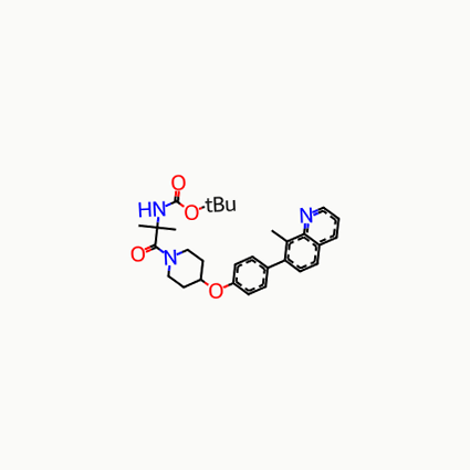 Cc1c(-c2ccc(OC3CCN(C(=O)C(C)(C)NC(=O)OC(C)(C)C)CC3)cc2)ccc2cccnc12